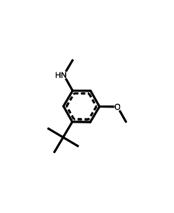 CNc1cc(OC)cc(C(C)(C)C)c1